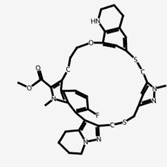 COC(=O)c1c2c3ccc(F)c(c3n1C)-c1c(nn3c1CCCC3)CSCc1cc(n(C)n1)CSc1cc3c(c(c1)OCCC2)NCCC3